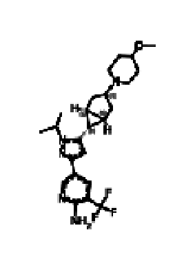 COC1CCN([C@H]2C[C@@H]3[C@H](C2)[C@H]3c2cc(-c3cnc(N)c(C(F)(F)F)c3)nn2C(C)C)CC1